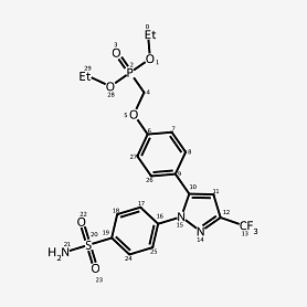 CCOP(=O)(COc1ccc(-c2cc(C(F)(F)F)nn2-c2ccc(S(N)(=O)=O)cc2)cc1)OCC